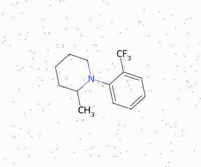 CC1CCCCN1c1ccccc1C(F)(F)F